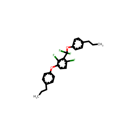 CCCc1ccc(Oc2[c]cc(F)c(C(F)(F)Oc3ccc(CCC)cc3)c2F)cc1